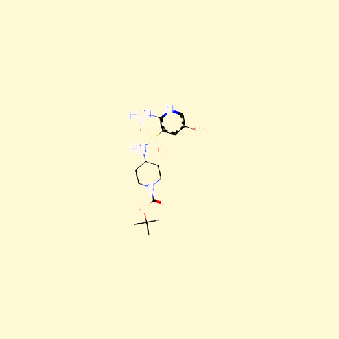 CC(C)(C)OC(=O)N1CCC(NS(=O)(=O)c2cc(Br)cnc2N)CC1